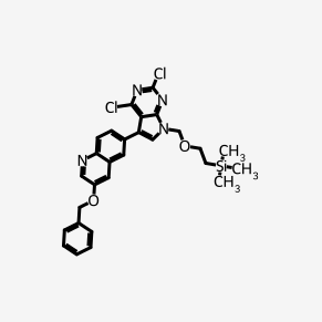 C[Si](C)(C)CCOCn1cc(-c2ccc3ncc(OCc4ccccc4)cc3c2)c2c(Cl)nc(Cl)nc21